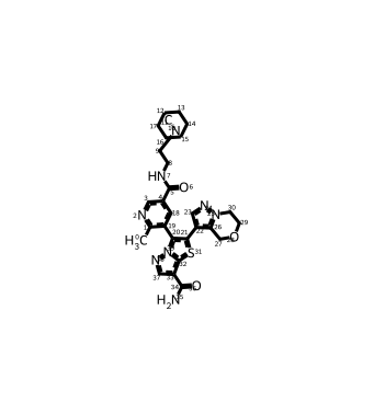 Cc1ncc(C(=O)NCCN2CC3CCC2CC3)cc1-c1c(-c2cnn3c2COCC3)sc2c(C(N)=O)cnn12